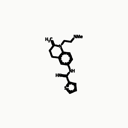 C=C1CCc2cc(NC(=N)c3cccs3)ccc2N1CCNC